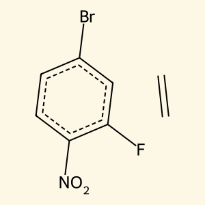 C=C.O=[N+]([O-])c1ccc(Br)cc1F